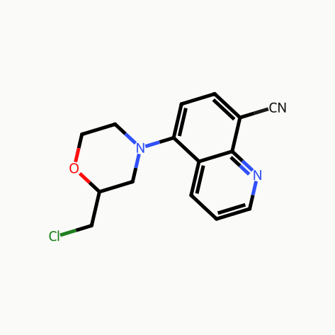 N#Cc1ccc(N2CCOC(CCl)C2)c2cccnc12